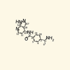 CC(N)c1ccc(C(=O)Nc2ccnc3[nH]ncc23)cc1